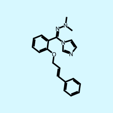 CN(C)N=C(c1ccccc1OCC=Cc1ccccc1)n1ccnc1